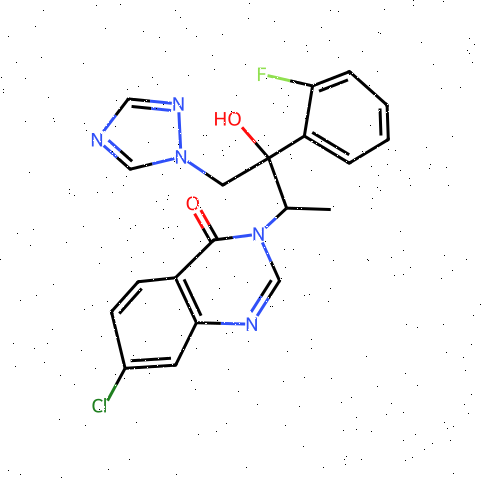 CC(n1cnc2cc(Cl)ccc2c1=O)C(O)(Cn1cncn1)c1ccccc1F